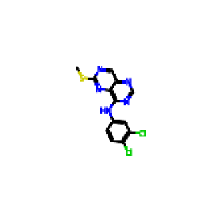 CSc1ncc2ncnc(Nc3ccc(Cl)c(Cl)c3)c2n1